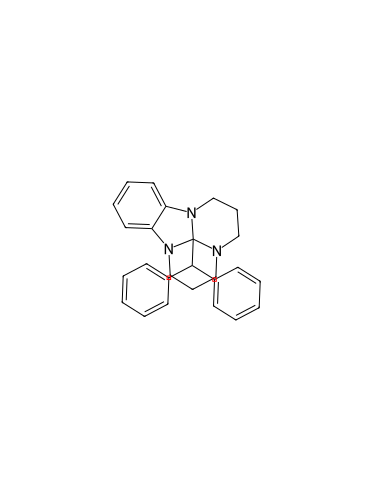 c1ccc(C(c2ccccc2)C23N4CCCN2c2ccccc2N3CCC4)cc1